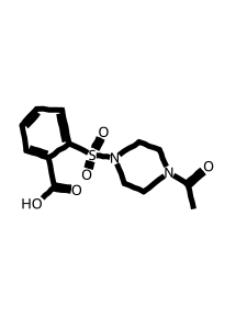 CC(=O)N1CCN(S(=O)(=O)c2ccccc2C(=O)O)CC1